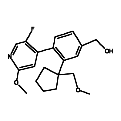 COCC1(c2cc(CO)ccc2-c2cc(OC)ncc2F)CCCC1